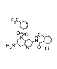 NC1Cc2ncc(NC(=O)c3c(Cl)cccc3Cl)cc2N(S(=O)(=O)c2cccc(C(F)(F)F)c2)C1